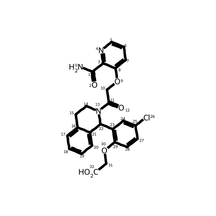 NC(=O)c1ncccc1OCC(=O)N1CCc2ccccc2C1c1cc(Cl)ccc1OCC(=O)O